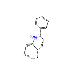 C1=CC(c2ccccc2)Nc2ccccc21